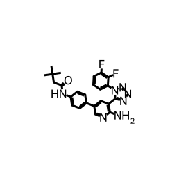 CC(C)(C)CC(=O)Nc1ccc(-c2cnc(N)c(-c3nnnn3-c3cccc(F)c3F)c2)cc1